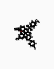 CCOc1nc(Cl)ccc1C1(N2CCC(N3CCN(C)CC3)CC2)C(=O)N(S(=O)(=O)c2ccc(OC)cn2)c2ccc(C#N)cc21